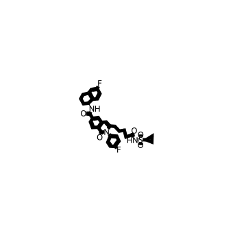 O=C(CCCCc1cc2cc(C(=O)N[C@@H]3CCCc4cc(F)ccc43)ccc2c(=O)n1-c1ccc(F)cc1)NS(=O)(=O)C1CC1